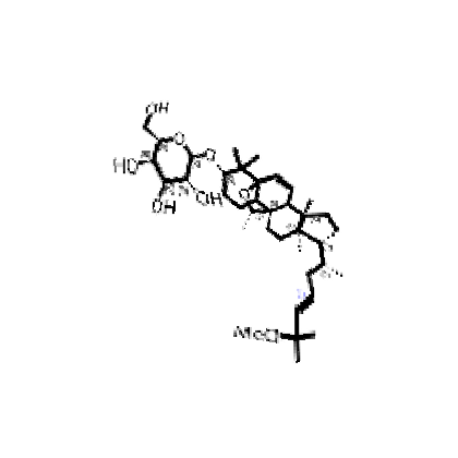 COC(C)(C)/C=C/C[C@@H](C)[C@H]1CC[C@@]2(C)C3C=CC45O[C@@H](C)[C@]3(CC[C@]12C)C4CC[C@H](O[C@@H]1O[C@H](CO)[C@H](O)[C@H](O)[C@H]1O)C5(C)C